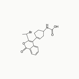 CC(Br)c1oc(=O)c2ccccc2c1C1=CCC(NC(=O)O)CC1